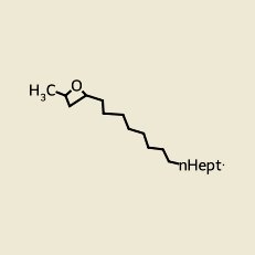 CCCCCC[CH]CCCCCCCCC1CC(C)O1